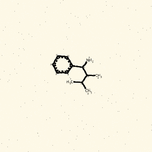 CC(C)C(C)C(N)c1c[c]ccc1